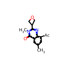 CC(=O)c1cc(C)cc2c(=O)n(C)c(C3COC3)nc12